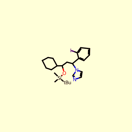 CC(C)(C)[Si](C)(C)OC(CC(c1ccccc1I)n1ccnc1)C1CCCCC1